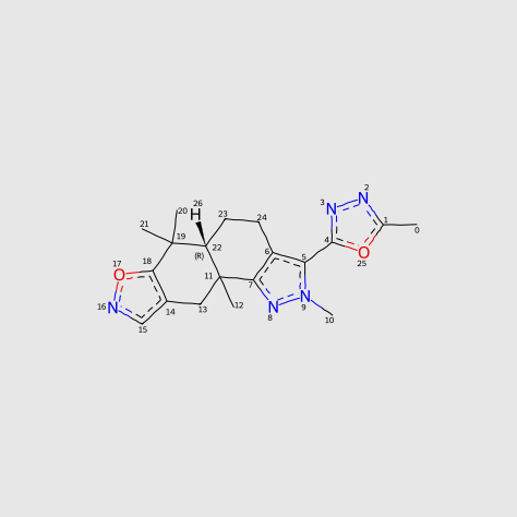 Cc1nnc(-c2c3c(nn2C)C2(C)Cc4cnoc4C(C)(C)[C@@H]2CC3)o1